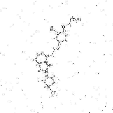 CCOC(=O)COc1ccc(SCCc2cccc3cn(-c4ccc(C(F)(F)F)cc4)nc23)cc1CC